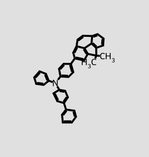 CC1(C)c2cccc3ccc4cc(-c5ccc(N(c6ccccc6)c6ccc(-c7ccccc7)cc6)cc5)cc1c4c23